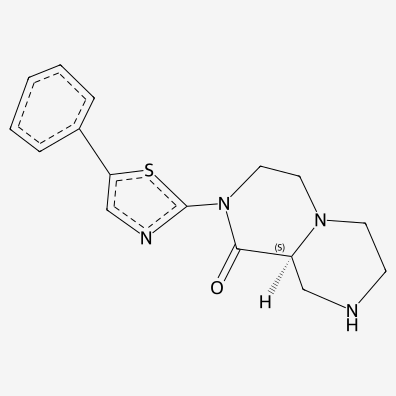 O=C1[C@@H]2CNCCN2CCN1c1ncc(-c2ccccc2)s1